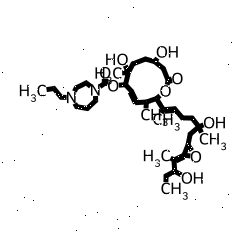 CCCN1CCCN(C(=O)OC2/C=C/C(C)C(/C(C)=C/CCC(C)(O)CC3OC3=C(C)C(O)CC)OC(=O)CC(O)CCC2(C)O)CC1